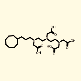 O=C(O)CN(CCCC1CCCCCCC1)CCN(CCN(CC(=O)O)CC(=O)O)CC(=O)O